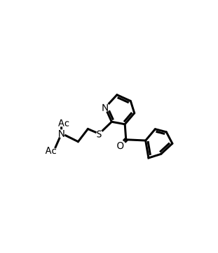 CC(=O)N(CCSc1ncccc1C(=O)c1ccccc1)C(C)=O